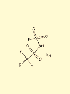 O=S(=O)(F)NS(=O)(=O)C(F)(F)F.[KH]